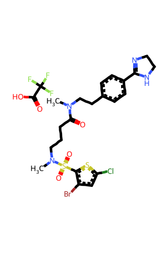 CN(CCc1ccc(C2=NCCN2)cc1)C(=O)CCCN(C)S(=O)(=O)c1sc(Cl)cc1Br.O=C(O)C(F)(F)F